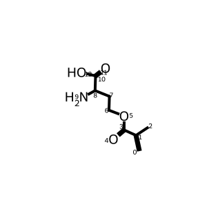 C=C(C)C(=O)OCCC(N)C(=O)O